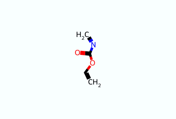 C=COC(=O)N=C